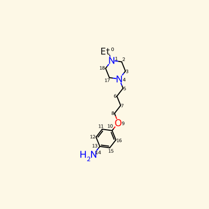 CCN1CCN(CCCCOc2ccc(N)cc2)CC1